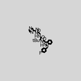 CC(C)(C)[C@H](NC(=O)c1nn(Cc2ccc(F)cc2)c2ccccc12)C(=O)NCc1nc(-c2cnccn2)no1